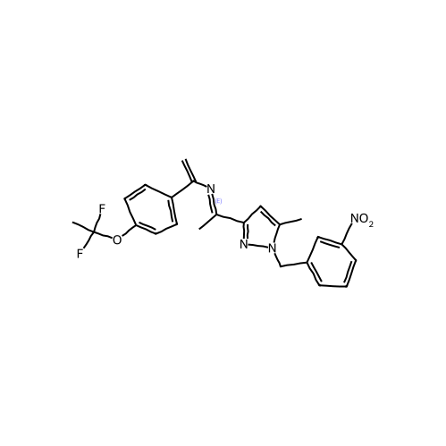 C=C(/N=C(\C)c1cc(C)n(Cc2cccc([N+](=O)[O-])c2)n1)c1ccc(OC(C)(F)F)cc1